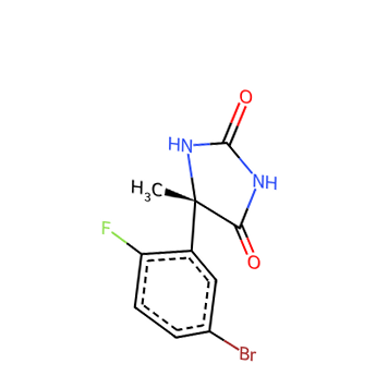 C[C@@]1(c2cc(Br)ccc2F)NC(=O)NC1=O